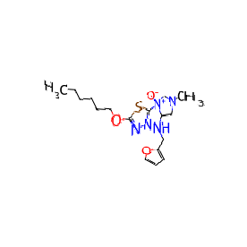 CCCCCCOc1nnc([N+]2([O-])CN(C)CC2NCc2ccco2)s1